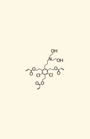 C=CC(=O)OCCc1c(Cl)c(CCOC(=O)C=C)c(CCCN(CCO)CCO)c(CCOC(=O)C=C)c1Cl